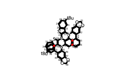 CC(C)c1cc2c3c(c1)N(c1cc4c(cc1-c1ccccc1)OCO4)c1c(sc4ccc(C(C)(C)C)cc14)B3c1sc3ccc(C(C)(C)C)cc3c1N2c1cc2c(cc1-c1ccccc1)OCO2